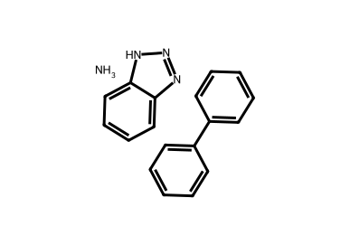 N.c1ccc(-c2ccccc2)cc1.c1ccc2[nH]nnc2c1